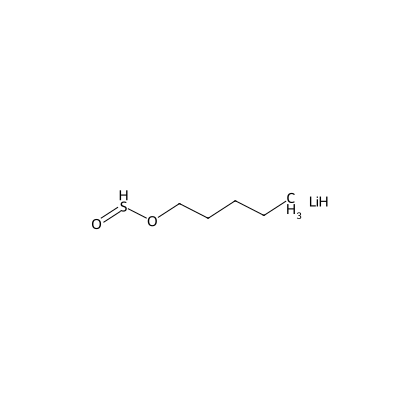 CCCCCO[SH]=O.[LiH]